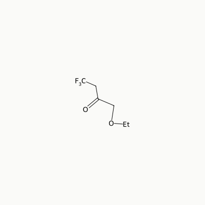 CCOCC(=O)CC(F)(F)F